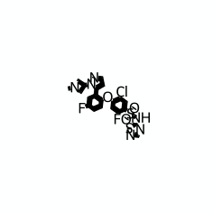 CN1CC(n2nccc2-c2cc(F)ccc2Oc2cc(F)c(S(=O)(=O)Nc3ncns3)cc2Cl)C1